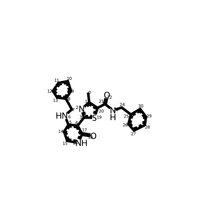 Cc1nc(-c2c(NCc3ccccc3)cc[nH]c2=O)sc1C(=O)NCc1ccccc1